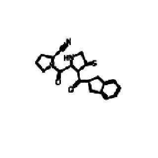 N#C[C@@H]1CCCN1C(=O)[C@H]1NCC(=S)C1C(=O)C1Cc2ccccc2C1